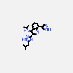 CC(C)Cc1nc(-c2cnc3c(-c4cn[nH]c4)cccc3c2NC(C)C)n[nH]1